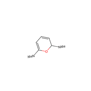 CNC1=CC=CC(NC)O1